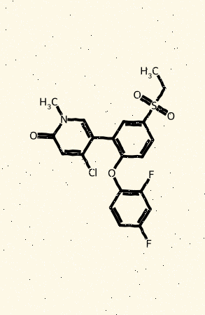 CCS(=O)(=O)c1ccc(Oc2ccc(F)cc2F)c(-c2cn(C)c(=O)cc2Cl)c1